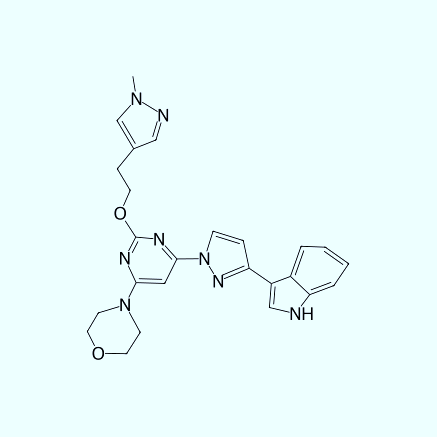 Cn1cc(CCOc2nc(N3CCOCC3)cc(-n3ccc(-c4c[nH]c5ccccc45)n3)n2)cn1